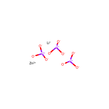 [Li+].[O-][I+2]([O-])[O-].[O-][I+2]([O-])[O-].[O-][I+2]([O-])[O-].[Zn+2]